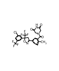 Cc1ccc(C2=NOC(c3cc(Cl)cc(C(F)(F)F)c3)(C(F)(F)F)C2)cc1C(=O)N1CC(=O)NC(=O)C1